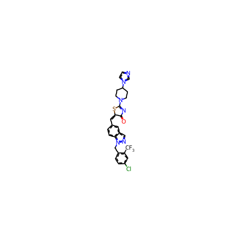 O=C1N=C(N2CCC(n3ccnc3)CC2)SC1=Cc1ccc2c(cnn2Cc2ccc(Cl)cc2C(F)(F)F)c1